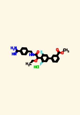 CCOC(C(=O)NCc1ccc(C(=N)N)cc1)c1c(F)cc(-c2cccc(C(=O)OC)c2)cc1F.Cl